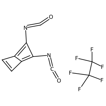 FC(F)(F)C(F)(F)F.O=C=Nc1c2ccc-2c1N=C=O